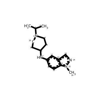 CC(C)N1CCC(Nc2ccc3c(cnn3C)c2)CC1